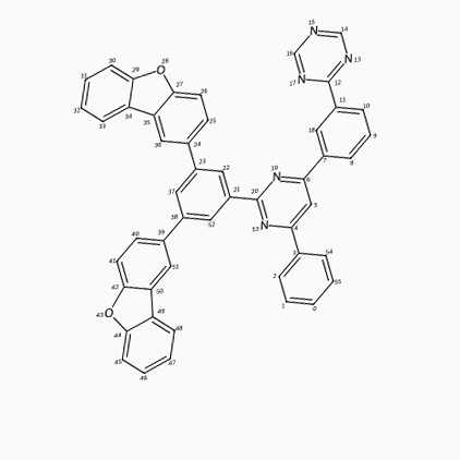 c1ccc(-c2cc(-c3cccc(-c4ncncn4)c3)nc(-c3cc(-c4ccc5oc6ccccc6c5c4)cc(-c4ccc5oc6ccccc6c5c4)c3)n2)cc1